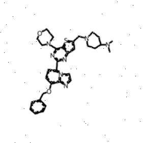 CN(C)C1CCN(Cc2cc3nc(-c4ccc(OCc5ccccc5)c5nccn45)nc(N4CCOCC4)c3s2)CC1